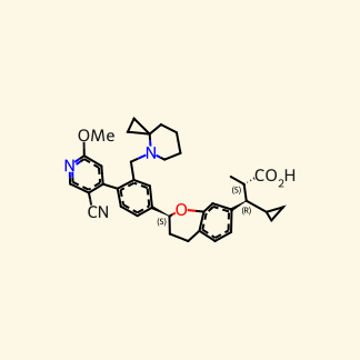 COc1cc(-c2ccc([C@@H]3CCc4ccc([C@H](C5CC5)[C@H](C)C(=O)O)cc4O3)cc2CN2CCCCC23CC3)c(C#N)cn1